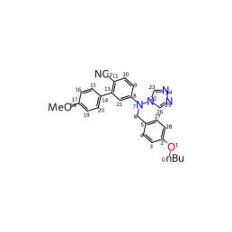 CCCCOc1ccc(CN(c2ccc(C#N)c(-c3ccc(OC)cc3)c2)n2cnnc2)cc1